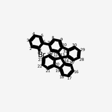 Brc1ccccc1-c1ccc2c(c1)C1(c3ccccc3-c3ccccc31)c1ccccc1-2